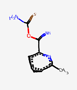 Cc1cccc(C(=N)OC(N)=S)n1